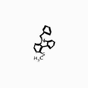 CSc1[c]ccc2c1c1ccccc1n2Cc1ccccc1